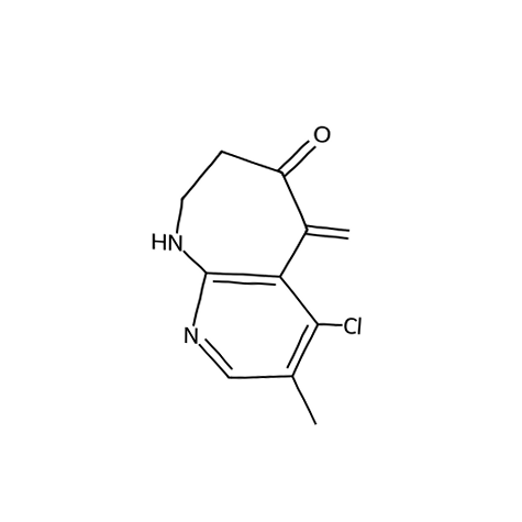 C=C1C(=O)CCNc2ncc(C)c(Cl)c21